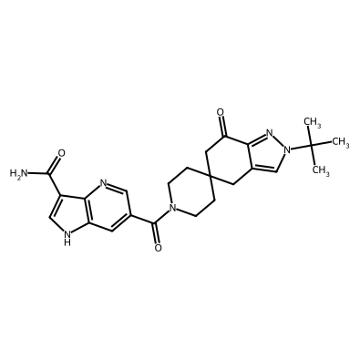 CC(C)(C)n1cc2c(n1)C(=O)CC1(CCN(C(=O)c3cnc4c(C(N)=O)c[nH]c4c3)CC1)C2